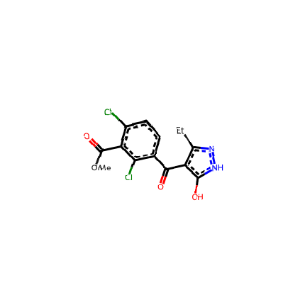 CCc1n[nH]c(O)c1C(=O)c1ccc(Cl)c(C(=O)OC)c1Cl